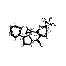 CS(=O)(=O)c1ncc(C(=O)N2CCC(c3cccnc3)C2)c(C2CC2)n1